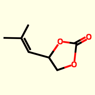 CC(C)=CC1COC(=O)O1